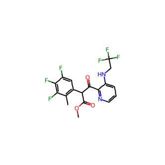 COC(=O)C(C(=O)c1ncccc1NCC(F)(F)F)c1cc(F)c(F)c(F)c1C